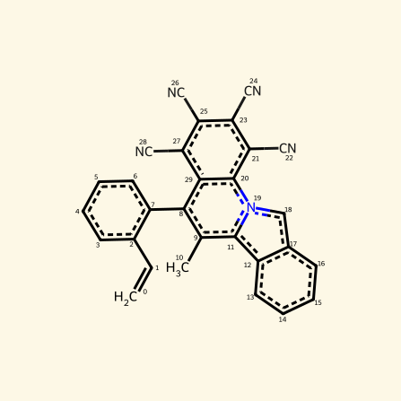 C=Cc1ccccc1-c1c(C)c2c3ccccc3cn2c2c(C#N)c(C#N)c(C#N)c(C#N)c12